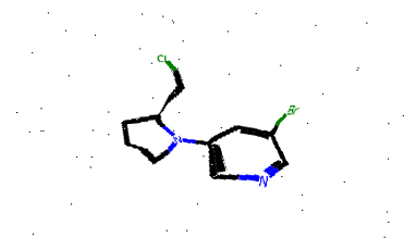 ClC[C@@H]1CCCN1c1cncc(Br)c1